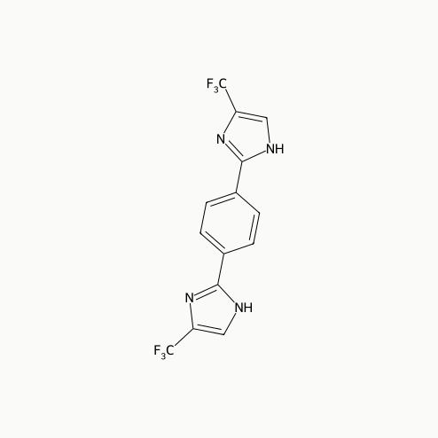 FC(F)(F)c1c[nH]c(-c2ccc(-c3nc(C(F)(F)F)c[nH]3)cc2)n1